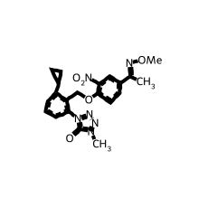 CON=C(C)c1ccc(OCc2c(C3CC3)cccc2-n2nnn(C)c2=O)c([N+](=O)[O-])c1